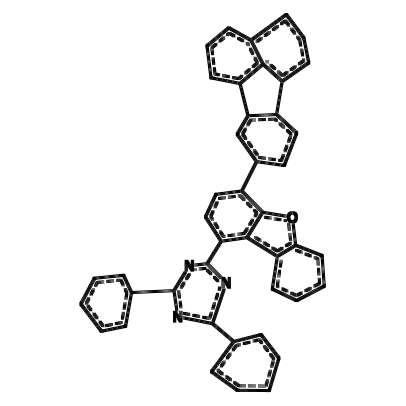 c1ccc(-c2nc(-c3ccccc3)nc(-c3ccc(-c4ccc5c(c4)-c4cccc6cccc-5c46)c4oc5ccccc5c34)n2)cc1